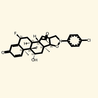 CC(=O)[C@@]12ON(c3ccc(Cl)cc3)CC1C[C@H]1[C@@H]3C[C@H](F)C4=CC(=O)C=C[C@]4(C)[C@@]3(F)[C@@H](O)C[C@@]12C